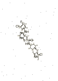 Cc1nn(C)c(Cl)c1CN1CCC(NC(=O)c2cc3c(Nc4ccc(F)c(Cl)c4)ncnc3s2)CC1